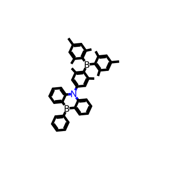 Cc1cc(C)c(B(c2c(C)cc(C)cc2C)c2c(C)cc(N3c4ccccc4B(c4ccccc4)c4ccccc43)cc2C)c(C)c1